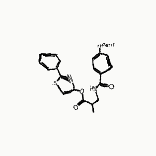 CCCCCc1ccc(C(=O)NCC(C)C(=O)Oc2csc(-c3c[c]ccc3)n2)cc1